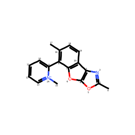 Cc1nc2c(o1)oc1c(-c3cccc[n+]3C)c(C)ccc12